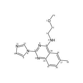 COCCNc1nc(-n2ccnc2)nc2ccc(C)cc12